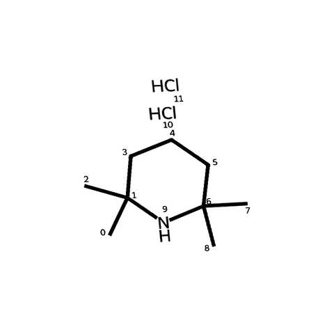 CC1(C)CCCC(C)(C)N1.Cl.Cl